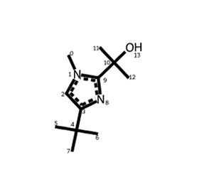 Cn1cc(C(C)(C)C)nc1C(C)(C)O